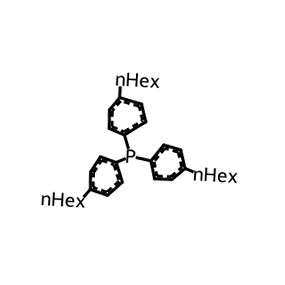 CCCCCCc1ccc(P(c2ccc(CCCCCC)cc2)c2ccc(CCCCCC)cc2)cc1